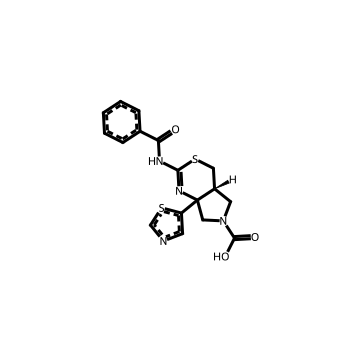 O=C(NC1=NC2(c3cncs3)CN(C(=O)O)C[C@H]2CS1)c1ccccc1